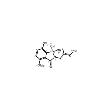 COc1ccc([N+](=O)[O-])c2c1C(=O)N(C/C(C)=C/C#N)S2(O)O